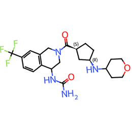 NC(=O)NC1CN(C(=O)[C@H]2CC[C@@H](NC3CCOCC3)C2)Cc2cc(C(F)(F)F)ccc21